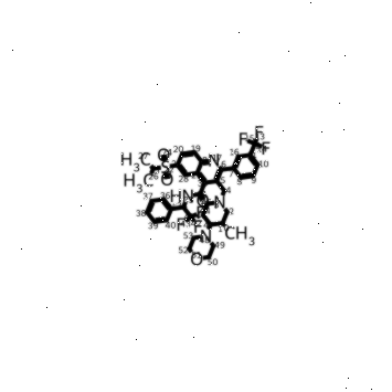 CC1CN(Cc2c(-c3cccc(C(F)(F)F)c3)nc3ccc(S(=O)(=O)C(C)C)cc3c2C(=O)NC(c2ccccc2)C(F)(F)F)CCC1N1CCOCC1